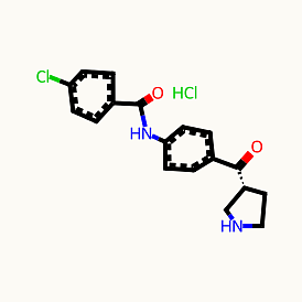 Cl.O=C(Nc1ccc(C(=O)[C@@H]2CCNC2)cc1)c1ccc(Cl)cc1